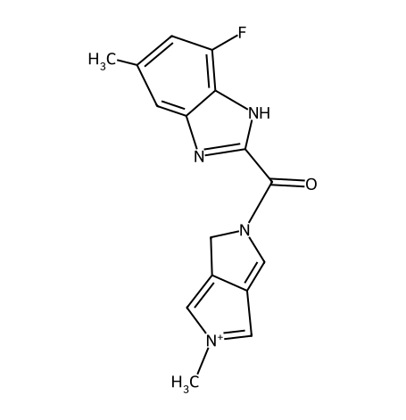 Cc1cc(F)c2[nH]c(C(=O)N3C=C4C=[N+](C)C=C4C3)nc2c1